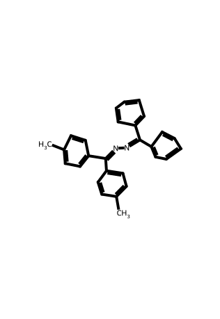 Cc1ccc(C(=NN=C(c2ccccc2)c2ccccc2)c2ccc(C)cc2)cc1